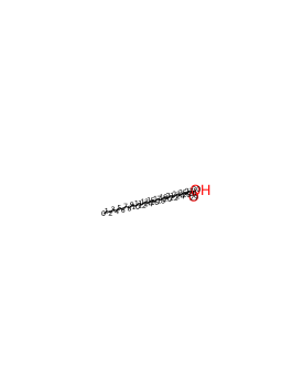 CCCCCCCCCCCCCCCCCCCCCCCCCCC=CC(=O)O